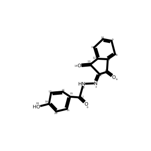 O=C(NN=c1c(=O)c2ccccc2c1=O)c1ccc(O)cc1